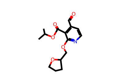 CC(C)OC(=O)c1c(C=O)ccnc1OCC1CCCO1